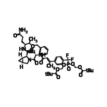 CCCC[C@H](NC(=O)/C=C(\C)c1ccc(C(F)(F)P(=O)(OCOC(=O)C(C)(C)C)OCOC(=O)C(C)(C)C)cc1)C(=O)N1C[C@H]2C[C@H]2[C@H]1C(=O)N[C@@H](CCC(N)=O)[C@@H](C)OCc1ccccc1